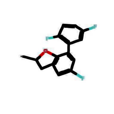 [CH2]C1Cc2cc(F)cc(-c3cc(F)ccc3F)c2O1